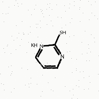 Sc1ncccn1.[KH]